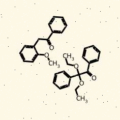 CCOC(OCC)(C(=O)c1ccccc1)c1ccccc1.COc1ccccc1CC(=O)c1ccccc1